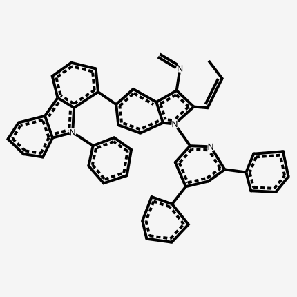 C=Nc1c(/C=C\C)n(-c2cc(-c3ccccc3)cc(-c3ccccc3)n2)c2ccc(-c3cccc4c5ccccc5n(-c5ccccc5)c34)cc12